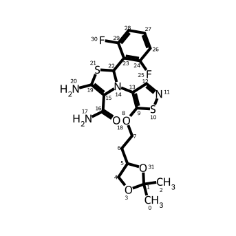 CC1(C)OCC(CCOc2sncc2N2C(C(N)=O)=C(N)SC2c2c(F)cccc2F)O1